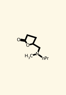 CCCN(C)CC1CCC(=O)O1